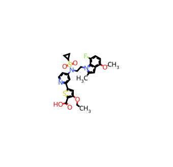 CCOc1cc(-c2cc(N(CCn3c(C)cc4c(OC)ccc(F)c43)S(=O)(=O)C3CC3)ccn2)sc1C(=O)O